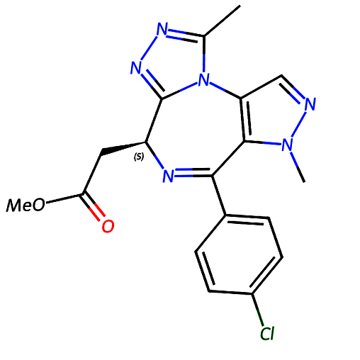 COC(=O)C[C@@H]1N=C(c2ccc(Cl)cc2)c2c(cnn2C)-n2c(C)nnc21